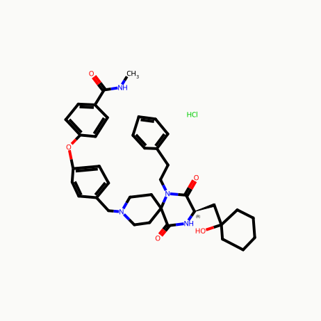 CNC(=O)c1ccc(Oc2ccc(CN3CCC4(CC3)C(=O)N[C@H](CC3(O)CCCCC3)C(=O)N4CCc3ccccc3)cc2)cc1.Cl